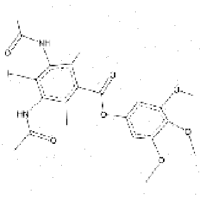 COc1cc(OC(=O)c2c(I)c(NC(C)=O)c(I)c(NC(C)=O)c2I)cc(OC)c1OC